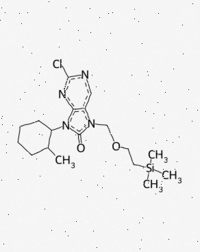 CC1CCCCC1n1c(=O)n(COCC[Si](C)(C)C)c2cnc(Cl)nc21